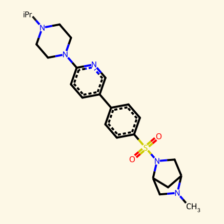 CC(C)N1CCN(c2ccc(-c3ccc(S(=O)(=O)N4CC5CC4CN5C)cc3)cn2)CC1